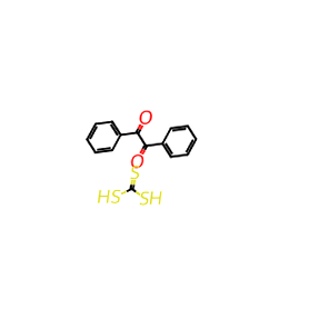 O=C(C(=O)c1ccccc1)c1ccccc1.S=C(S)S